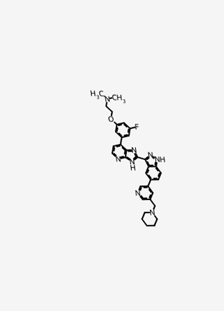 CN(C)CCOc1cc(F)cc(-c2ccnc3[nH]c(-c4n[nH]c5ccc(-c6cncc(CN7CCCCC7)c6)cc45)nc23)c1